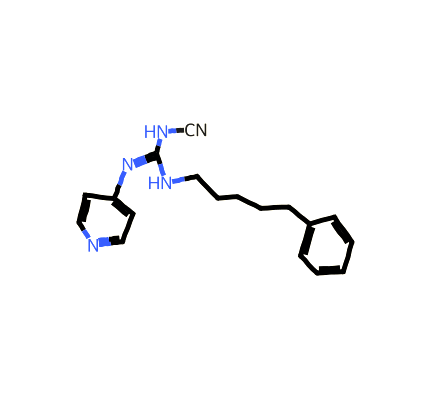 N#CNC(=Nc1ccncc1)NCCCCCc1ccccc1